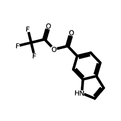 O=C(OC(=O)C(F)(F)F)c1ccc2cc[nH]c2c1